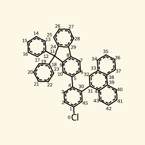 Clc1ccc(-c2ccc3c(c2)C(c2ccccc2)(c2ccccc2)c2ccccc2-3)c(-c2cc3ccccc3c3ccccc23)c1